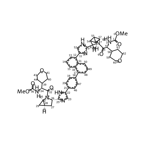 COC(=O)N[C@H](C(=O)N1[C@H](c2nc(-c3cccc4c(-c5ccc(-c6cnc([C@@H]7C[C@H]8C[C@H]8N7C(=O)[C@@H](NC(=O)OC)C7CCOCC7)[nH]6)cc5)cccc34)c[nH]2)C2C3[C@H]2[C@@H]31)C1CCOCC1